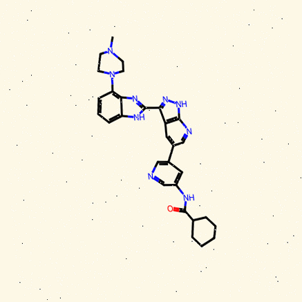 CN1CCN(c2cccc3[nH]c(-c4n[nH]c5ncc(-c6cncc(NC(=O)C7CCCCC7)c6)cc45)nc23)CC1